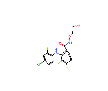 O=C(NOCCO)c1ccc(F)c(F)c1Nc1ccc(Cl)cc1F